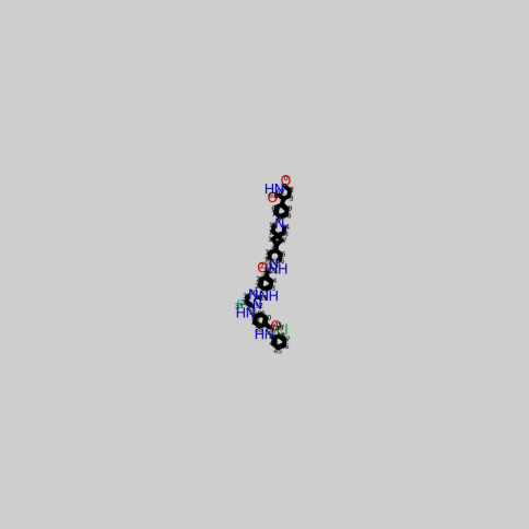 O=C1CCC(c2ccc(N3CCC4(CC3)CC(C3CCN(NC(=O)c5ccc(Nc6ncc(F)c(Nc7ccc(C(=O)Nc8ccccc8Cl)cc7)n6)cc5)CC3)C4)cc2)C(=O)N1